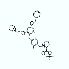 Cc1cc(Cc2[c]cc(OCc3ccccc3)cc2OCCN2CCCC2)ccc1CN1CCC[C@H]1C(=O)OC(C)(C)C